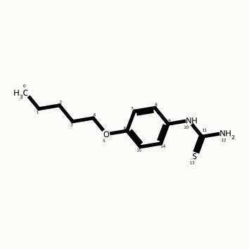 CCCCCOc1ccc(NC(N)=S)cc1